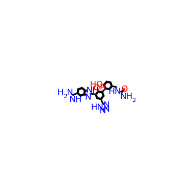 N=C(N)c1ccc2[nH]c(-c3cc(-c4nnn[nH]4)cc(-c4cc(CNC(N)=O)ccc4O)c3O)nc2c1